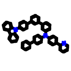 c1ccc(-c2ccc(N(c3ccc(-c4ccccn4)cc3)c3cccc(-c4cccc(-c5ccc(-n6c7ccccc7c7ccccc76)cc5)c4)c3)cc2)cc1